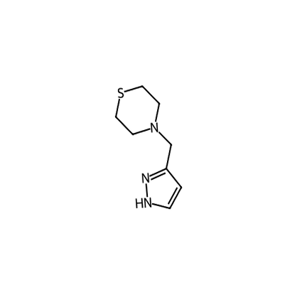 c1cc(CN2CCSCC2)n[nH]1